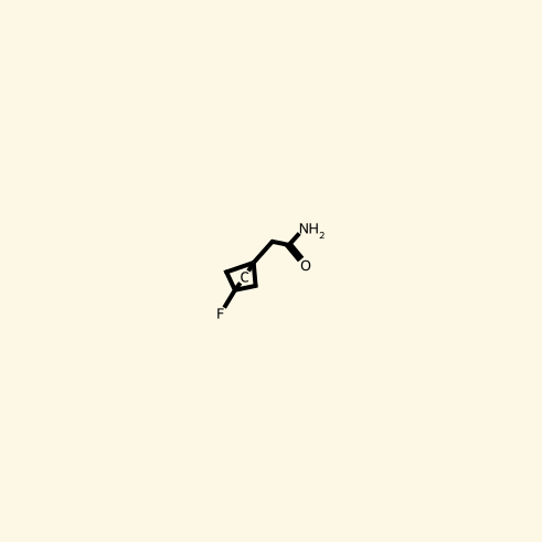 NC(=O)CC12CC(F)(C1)C2